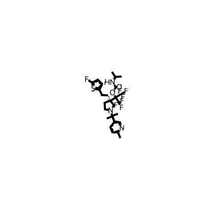 Cc1ccc(C(C)(C)N2CC[C@@](CCc3ccc(F)s3)(C(OC(=O)NC(C)C)(C(F)(F)F)C(F)(F)F)C2)cn1